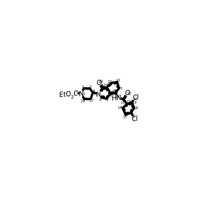 CCOC(=O)N1CCC(n2ccc3c(NC(=O)c4ccc(Cl)cc4Cl)cccc3c2=O)CC1